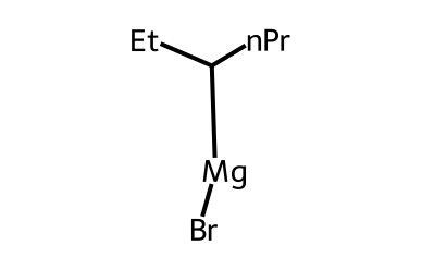 CCC[CH](CC)[Mg][Br]